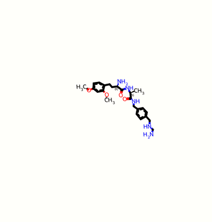 COc1ccc(CC[C@@H](N)C(=O)N[C@@H](C)C(=O)NCc2ccc(CNCN)cc2)c(OC)c1